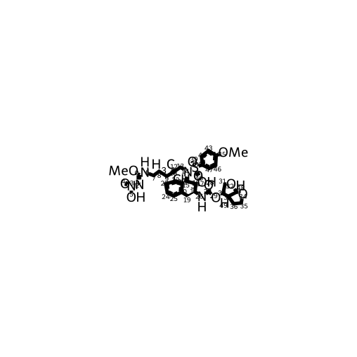 COC(=N[N+](=O)O)NCCCC(C)(C)CN(C[C@@H](O)[C@H](Cc1ccccc1)NC(=O)O[C@@H]1CO[C@@H]2OCC[C@@H]21)S(=O)(=O)c1ccc(OC)cc1